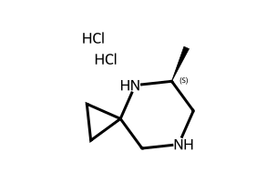 C[C@H]1CNCC2(CC2)N1.Cl.Cl